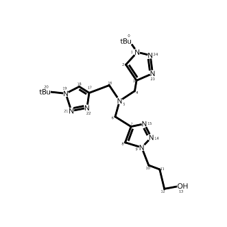 CC(C)(C)n1cc(CN(Cc2cn(CCCO)nn2)Cc2cn(C(C)(C)C)nn2)nn1